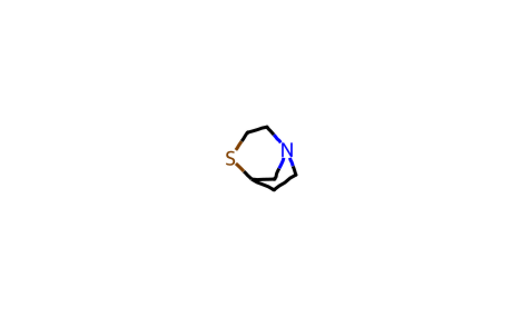 C1CN2CCC(C2)S1